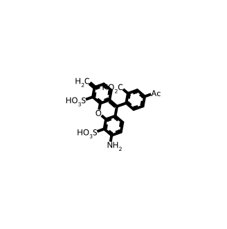 C=c1ccc2c(c1S(=O)(=O)O)Oc1c(ccc(N)c1S(=O)(=O)O)C=2c1ccc(C(C)=O)cc1C(=O)O